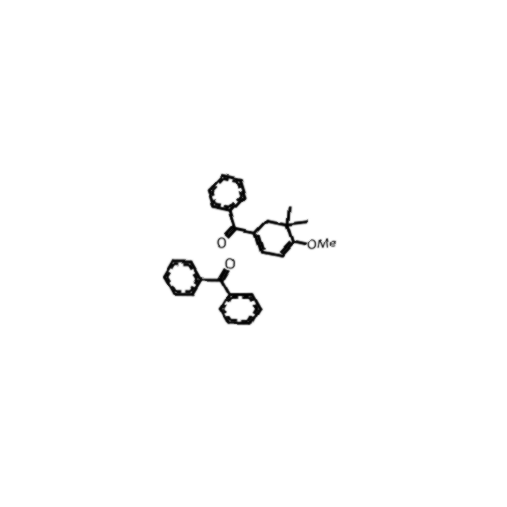 COC1=CC=C(C(=O)c2ccccc2)CC1(C)C.O=C(c1ccccc1)c1ccccc1